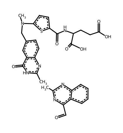 Cc1nc(C=O)c2ccccc2n1.Cc1nc2ccc(CN(C)c3ccc(C(=O)NC(CCC(=O)O)C(=O)O)s3)cc2c(=O)[nH]1